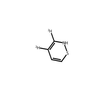 [2H]C1=C([2H])NSC=C1